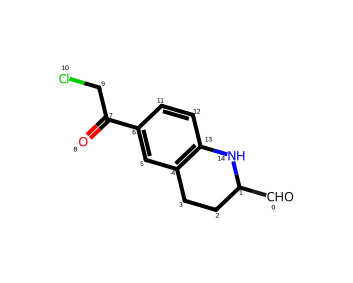 O=CC1CCc2cc(C(=O)CCl)ccc2N1